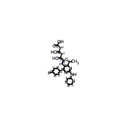 CC(C)c1nc(Nc2cnccn2)nc(-c2ccc(F)cc2)c1/C=C/[C@@H](O)C[C@@H](O)CC(=O)O